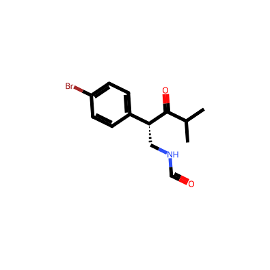 CC(C)C(=O)[C@H](CNC=O)c1ccc(Br)cc1